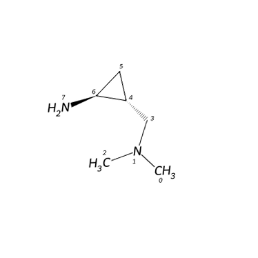 CN(C)C[C@H]1C[C@@H]1N